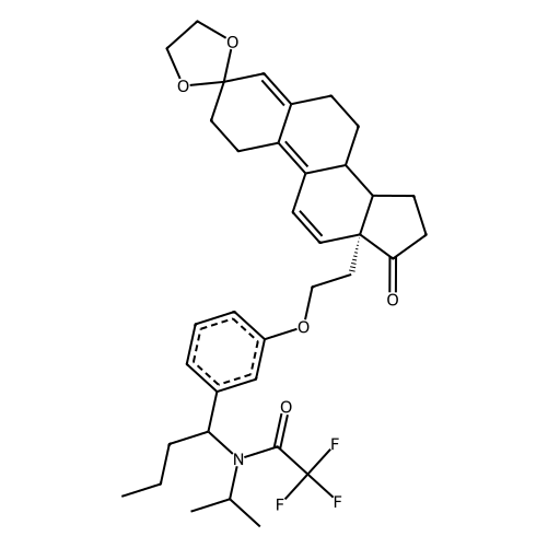 CCCC(c1cccc(OCC[C@]23C=CC4=C5CCC6(C=C5CCC4C2CCC3=O)OCCO6)c1)N(C(=O)C(F)(F)F)C(C)C